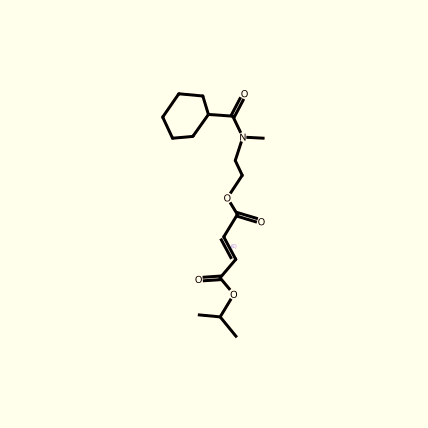 CC(C)OC(=O)/C=C/C(=O)OCCN(C)C(=O)C1CCCCC1